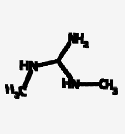 CNC(N)NC